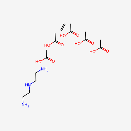 C=C.CC(=O)O.CC(=O)O.CC(=O)O.CC(=O)O.CC(=O)O.NCCNCCN